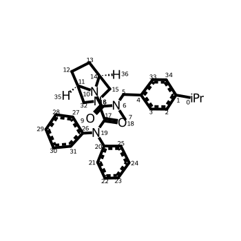 CC(C)c1ccc(CN(C)C(=O)N2[C@@H]3CC[C@H]2CN(C(=O)N(c2ccccc2)c2ccccc2)C3)cc1